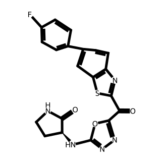 O=C(c1nnc(N[C@H]2CCNC2=O)o1)c1nc2ccc(-c3ccc(F)cc3)cc2s1